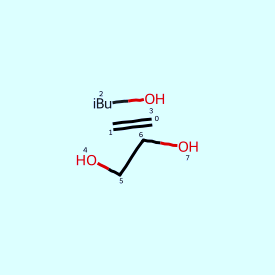 C=C.CCC(C)O.OCCO